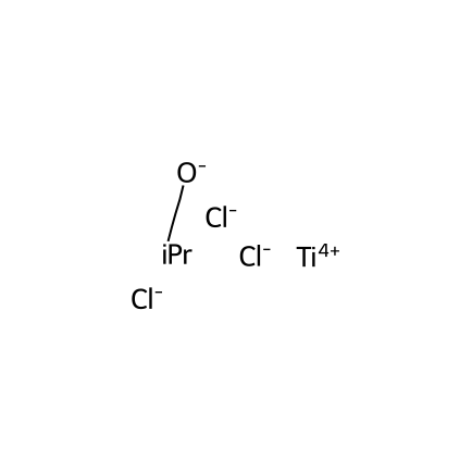 CC(C)[O-].[Cl-].[Cl-].[Cl-].[Ti+4]